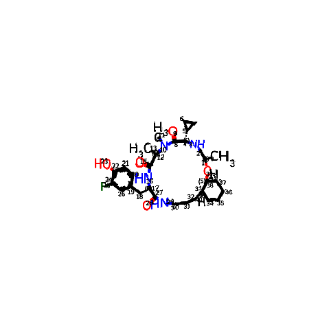 C[C@@H]1CN[C@@H](C2CC2)C(=O)N(C)[C@H](C)C(=O)N[C@H](Cc2ccc(O)c(F)c2)C(=O)NCCC[C@@H]2CCCC[C@@H]2O1